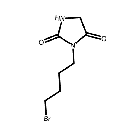 O=C1CNC(=O)N1CCCCBr